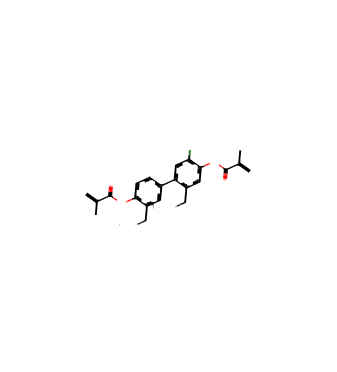 C=C(C)C(=O)Oc1cc(COC)c(-c2ccc(OC(=O)C(=C)C)c(COC)c2)cc1F